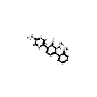 CC1C(c2ccccc2C#N)=CC=C(c2cnc(N)cn2)C1F